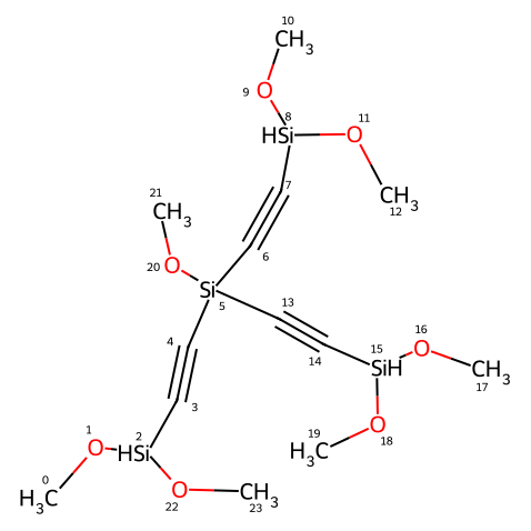 CO[SiH](C#C[Si](C#C[SiH](OC)OC)(C#C[SiH](OC)OC)OC)OC